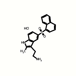 Cc1[nH]c2ccc(S(=O)(=O)c3cccc4ccccc34)cc2c1CCN.Cl